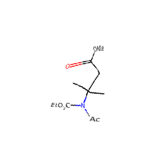 CCOC(=O)N(C(C)=O)C(C)(C)CC(=O)OC